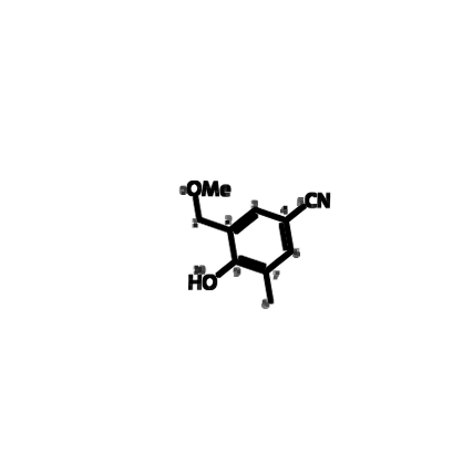 COCc1cc(C#N)cc(C)c1O